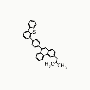 CC(C)Cc1ccc2cc(-c3ccc(-c4cccc5c4sc4ccccc45)cc3)c3ccccc3c2c1